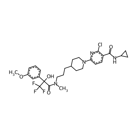 COc1cccc(C(O)(C(=O)N(C)CCCC2CCN(c3ccc(C(=O)NC4CC4)c(Cl)n3)CC2)C(F)(F)F)c1